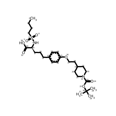 CCCCS(=O)(=O)N[C@@H](CCCc1ccc(OCCC2CCN(C(=O)OC(C)(C)C)CC2)cc1)C(=O)O